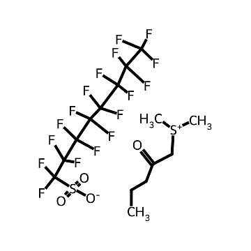 CCCC(=O)C[S+](C)C.O=S(=O)([O-])C(F)(F)C(F)(F)C(F)(F)C(F)(F)C(F)(F)C(F)(F)C(F)(F)C(F)(F)F